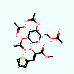 COC(=O)/C(=C/c1cccs1)O[C@H]1O[C@@H](COC(C)=O)[C@H](OC(C)=O)[C@@H](OC(C)=O)[C@@H]1OC(C)=O